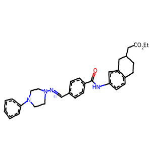 CCOC(=O)CC1CCc2ccc(NC(=O)c3ccc(/C=N/N4CCN(c5ccccc5)CC4)cc3)cc2C1